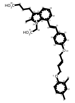 Cc1ccc(OC/C=C/COc2ccc(C=Cc3cccc4c(CCCC(=O)O)c(C)n(CC(=O)O)c34)cc2)c(C)c1